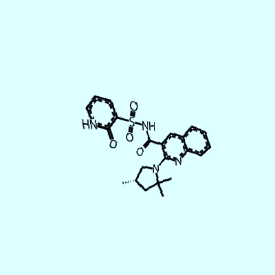 C[C@@H]1CN(c2nc3ccccc3cc2C(=O)NS(=O)(=O)c2ccc[nH]c2=O)C(C)(C)C1